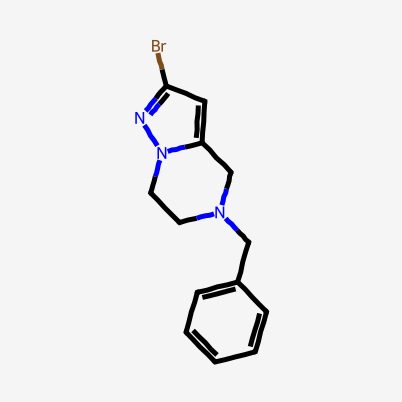 Brc1cc2n(n1)CCN(Cc1ccccc1)C2